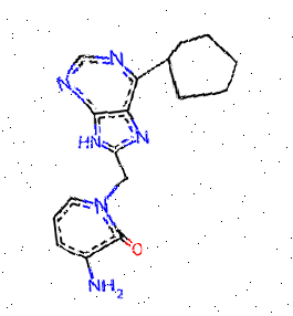 Nc1cccn(Cc2nc3c(C4CCCCC4)ncnc3[nH]2)c1=O